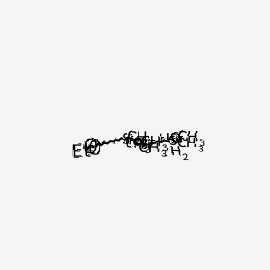 CCOOCCCCCCCCCCC[Si](C)(C)c1ccc([Si](C)(C)CCCCCCCC[SiH2]O[SiH](C)C)cc1